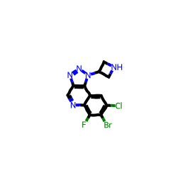 Fc1c(Br)c(Cl)cc2c1ncc1nnn(C3CNC3)c12